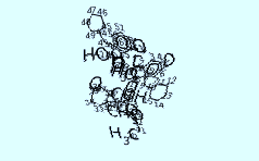 CC1(C)CC23OC2(CC1(CC1CCCCC1)C(=O)O)O3.CCC1OC1CC(C)(C(=O)O)C1(C)CCC2OC2C1.O=C(O)C1(CC2CCCCC2)CCC23OC2(C1)O3